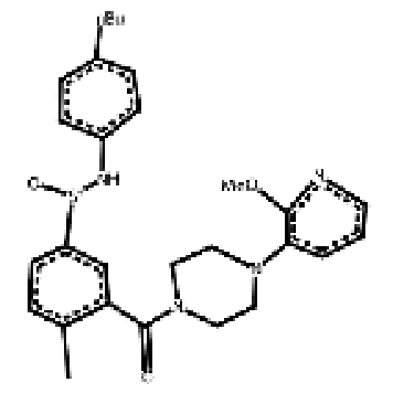 CCCCc1ccc(N[S+]([O-])c2ccc(C)c(C(=O)N3CCN(c4cccnc4OC)CC3)c2)cc1